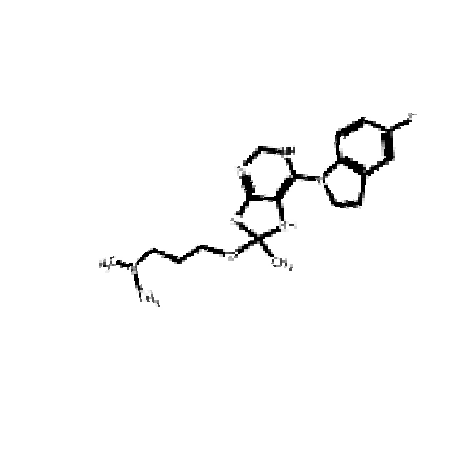 CN(C)CCCOC1(C)NC2=C(N3CCc4cc(F)ccc43)NCN=C2S1